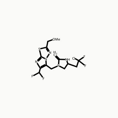 C=C1NC(CC(F)(F)Cl)CN1Cc1c(C(F)F)nc2sc(COC)nn12